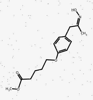 COC(=O)CCCCOc1ccc(C/C(C)=N\O)cc1